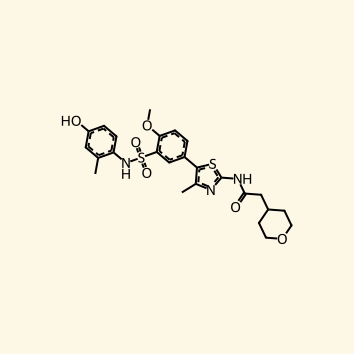 COc1ccc(-c2sc(NC(=O)CC3CCOCC3)nc2C)cc1S(=O)(=O)Nc1ccc(O)cc1C